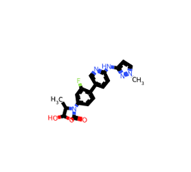 CC1C(O)OC(=O)N1c1ccc(-c2ccc(Nc3ccn(C)n3)nc2)c(F)c1